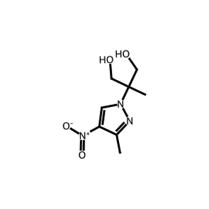 Cc1nn(C(C)(CO)CO)cc1[N+](=O)[O-]